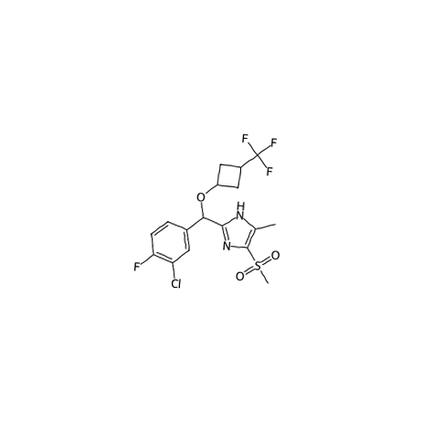 Cc1[nH]c(C(OC2CC(C(F)(F)F)C2)c2ccc(F)c(Cl)c2)nc1S(C)(=O)=O